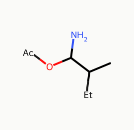 CCC(C)C(N)OC(C)=O